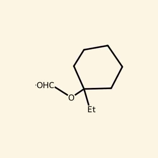 CCC1(O[C]=O)CCCCC1